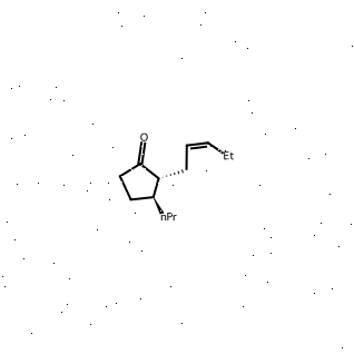 CC/C=C\C[C@H]1C(=O)CC[C@@H]1CCC